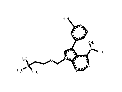 CN(C)c1ncnc2c1c(-c1ccnc(N)n1)cn2COCC[Si](C)(C)C